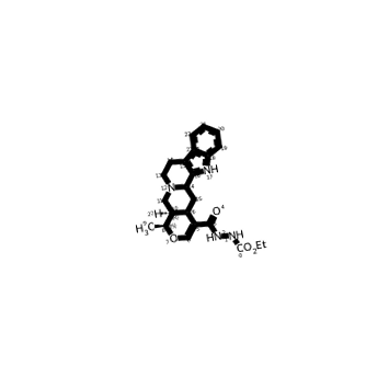 CCOC(=O)NNC(=O)C1=CO[C@@H](C)[C@H]2CN3CCc4c([nH]c5ccccc45)C3CC12